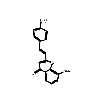 COc1cccc2c(=O)cc(/C=C/c3ccc(C(=O)O)cc3)oc12